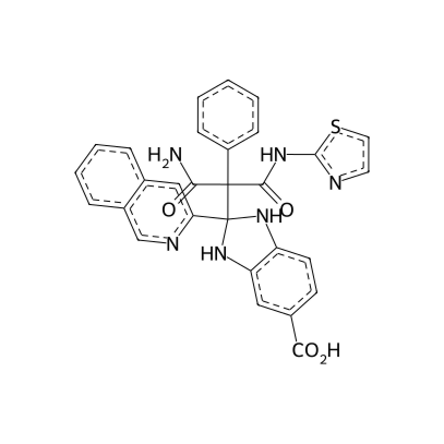 NC(=O)C(C(=O)Nc1nccs1)(c1ccccc1)C1(c2cc3ccccc3cn2)Nc2ccc(C(=O)O)cc2N1